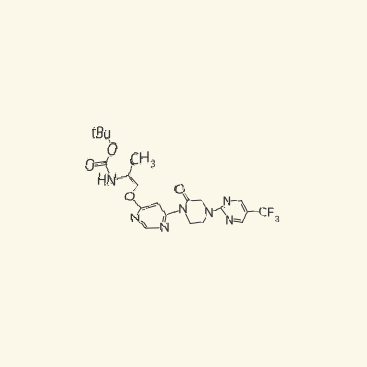 CC(COc1cc(N2CCN(c3ncc(C(F)(F)F)cn3)CC2=O)ncn1)NC(=O)OC(C)(C)C